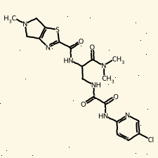 CN1Cc2nc(C(=O)NC(CNC(=O)C(=O)Nc3ccc(Cl)cn3)C(=O)N(C)C)sc2C1